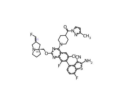 Cc1ccn(C(=O)C2CCN(c3nc(OC[C@@]45CCCN4C/C(=C\F)C5)nc4c(F)c(-c5ccc(F)c6sc(N)c(C#N)c56)c(Cl)cc34)CC2)n1